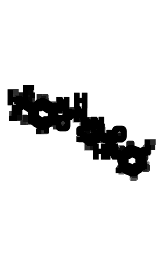 O=C(Nc1cccc(F)c1)c1csc(Nc2nc3cc(C(F)(F)F)ccc3o2)n1